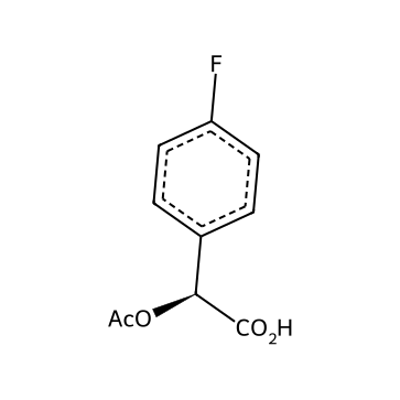 CC(=O)O[C@H](C(=O)O)c1ccc(F)cc1